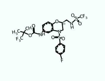 CC(C)(OC(=O)Nc1ccc2c(c1)N(S(=O)(=O)c1ccc(F)cc1)C[C@H](CNS(=O)(=O)C(F)(F)F)O2)C(F)(F)F